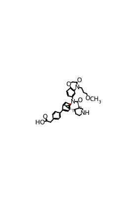 COCCCN1C(=O)COc2ccc(N(C(=O)[C@H]3CNCC[C@@H]3c3cccc(-c4ccc(CC(=O)O)cc4)c3)C3CC3)cc21